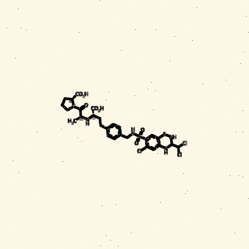 C[C@H](N[C@@H](CCc1ccc(CNS(=O)(=O)c2cc3c(cc2Cl)NC(C(Cl)Cl)NS3)cc1)C(=O)O)C(=O)N1CCC[C@H]1C(=O)O